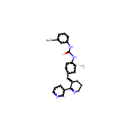 COc1cccc(NC(=O)Nc2ccc(/C=C3\CCCN=C3c3cccnc3)cc2)c1.Cl